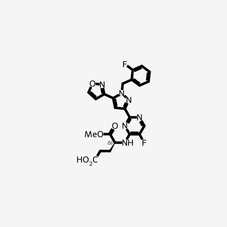 COC(=O)[C@H](CCC(=O)O)Nc1nc(-c2cc(-c3ccon3)n(Cc3ccccc3F)n2)ncc1F